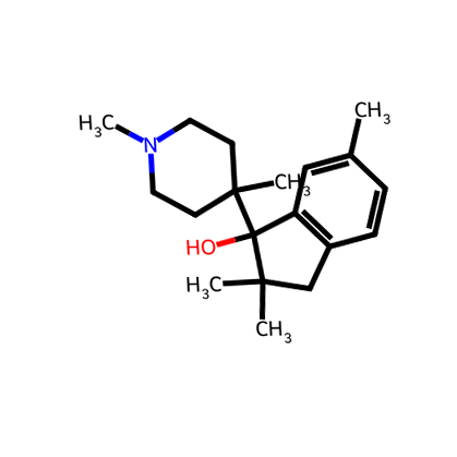 Cc1ccc2c(c1)C(O)(C1(C)CCN(C)CC1)C(C)(C)C2